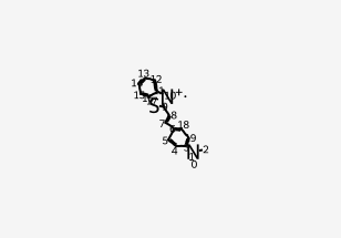 CN(C)c1ccc(C=CC2=[N+]c3ccccc3S2)cc1